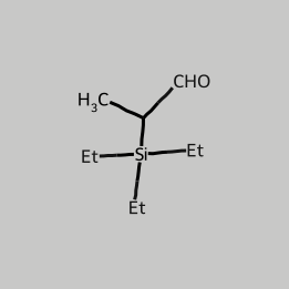 CC[Si](CC)(CC)C(C)C=O